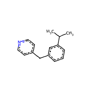 CC(C)c1cccc(Cc2ccncc2)c1